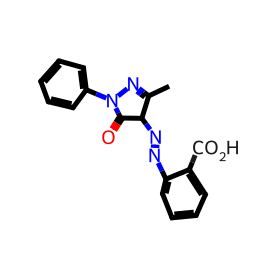 CC1=NN(c2ccccc2)C(=O)C1N=Nc1ccccc1C(=O)O